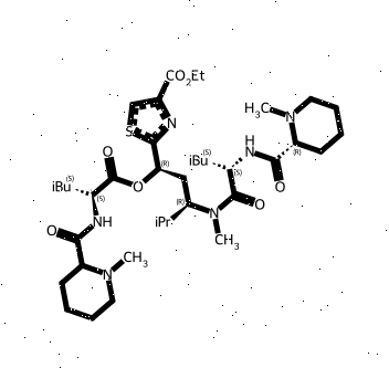 CCOC(=O)c1csc([C@@H](C[C@H](C(C)C)N(C)C(=O)[C@@H](NC(=O)[C@H]2CCCCN2C)[C@@H](C)CC)OC(=O)[C@@H](NC(=O)C2CCCCN2C)[C@@H](C)CC)n1